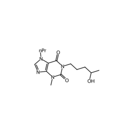 CCCn1cnc2c1c(=O)n(CCCC(C)O)c(=O)n2C